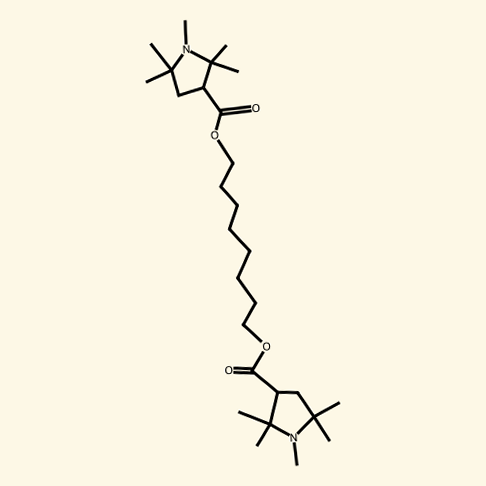 CN1C(C)(C)CC(C(=O)OCCCCCCCCOC(=O)C2CC(C)(C)N(C)C2(C)C)C1(C)C